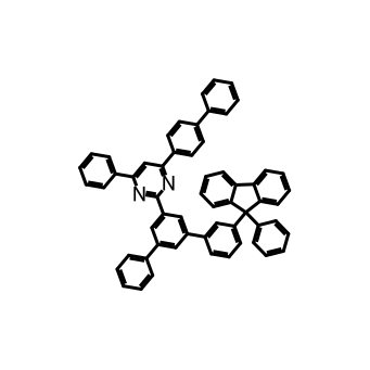 c1ccc(-c2ccc(-c3cc(-c4ccccc4)nc(-c4cc(-c5ccccc5)cc(-c5cccc(C6(c7ccccc7)c7ccccc7-c7ccccc76)c5)c4)n3)cc2)cc1